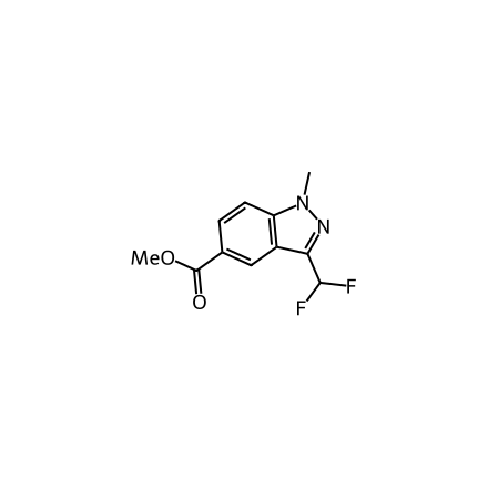 COC(=O)c1ccc2c(c1)c(C(F)F)nn2C